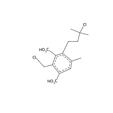 Cc1cc(C(=O)O)c(CCl)c(C(=O)O)c1CCC(C)(C)Cl